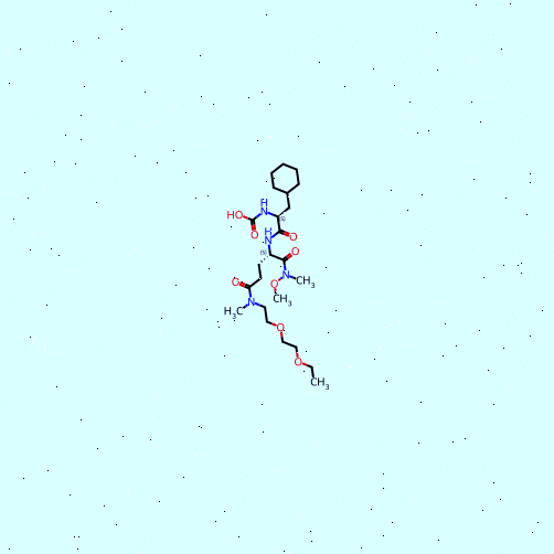 CCOCCOCCN(C)C(=O)CC[C@H](NC(=O)[C@H](CC1CCCCC1)NC(=O)O)C(=O)N(C)OC